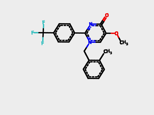 COc1cn(Cc2ccccc2C)c(-c2ccc(C(F)(F)F)cc2)nc1=O